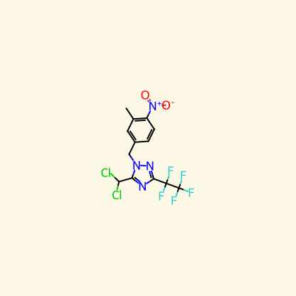 Cc1cc(Cn2nc(C(F)(F)C(F)(F)F)nc2C(Cl)Cl)ccc1[N+](=O)[O-]